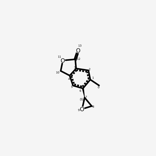 Cc1cc2c(cc1[C@H]1CO1)COC2=O